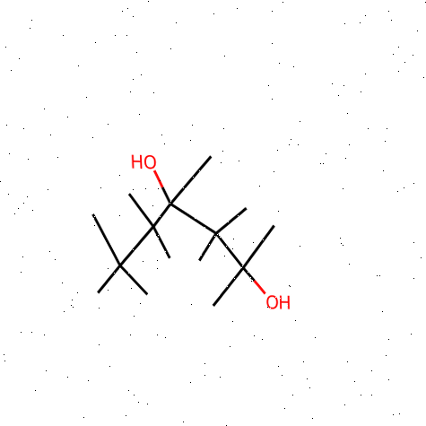 CC(C)(C)C(C)(C)C(C)(O)C(C)(C)C(C)(C)O